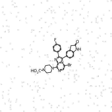 O=C1Cc2cc(-c3c(-c4ccc(F)cc4)nc4c(N5CCN(C(=O)O)CC5)ncc(Br)n34)ccc2N1